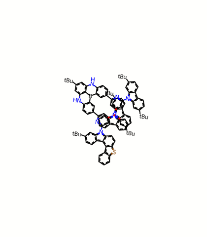 CC(C)(C)c1cc2c3c(c1)Nc1ccc(-c4cc(-n5c6cc(C(C)(C)C)ccc6c6ccc(C(C)(C)C)cc65)cc(-n5c6cc(C(C)(C)C)ccc6c6c7c(ccc65)sc5ccccc57)n4)cc1B3c1cc(-c3cc(-n4c5ccccc5c5ccccc54)cc(-n4c5cc(C(C)(C)C)ccc5c5ccc(C(C)(C)C)cc54)n3)ccc1N2